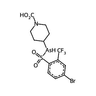 O=C(O)N1CCC([AsH]S(=O)(=O)c2ccc(Br)cc2C(F)(F)F)CC1